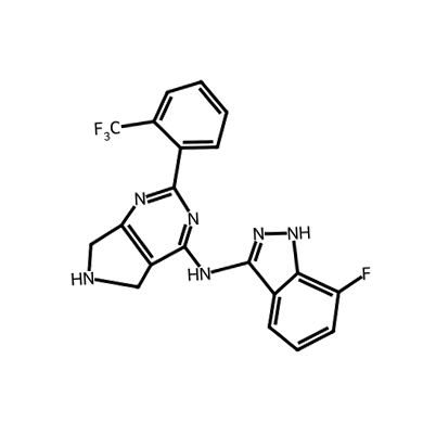 Fc1cccc2c(Nc3nc(-c4ccccc4C(F)(F)F)nc4c3CNC4)n[nH]c12